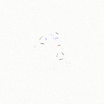 N#Cc1ccc(Cn2ccc(NC(=O)Cc3ccc(OCC(F)(F)F)c(C4CC4)c3)n2)nc1